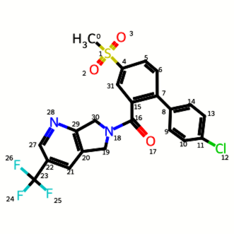 CS(=O)(=O)c1ccc(-c2ccc(Cl)cc2)c(C(=O)N2Cc3cc(C(F)(F)F)cnc3C2)c1